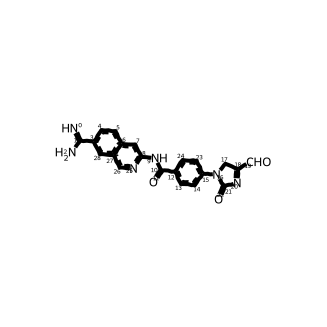 N=C(N)c1ccc2cc(NC(=O)c3ccc(N4CC(C=O)=NC4=O)cc3)ncc2c1